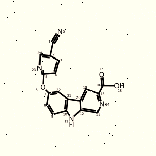 N#Cc1ccc(Oc2ccc3[nH]c4cnc(C(=O)O)cc4c3c2)nc1